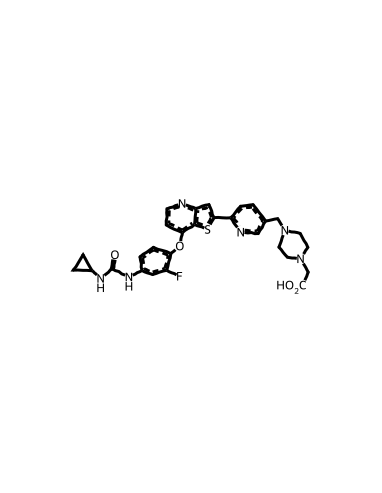 O=C(O)CN1CCN(Cc2ccc(-c3cc4nccc(Oc5ccc(NC(=O)NC6CC6)cc5F)c4s3)nc2)CC1